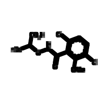 CCCCC(ONC(=O)c1c(Cl)ccc(Cl)c1OC)C(=O)O